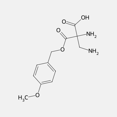 COc1ccc(COC(=O)C(N)(CN)C(=O)O)cc1